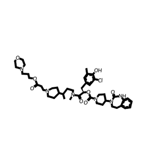 Cc1cc(C[C@@H](OC(=O)N2CCC(N3CCc4ccccc4NC3=O)CC2)C(=O)N(C)CCC(C)C2CCN(CCC(=O)OCCCN3CCOCC3)CC2)cc(Cl)c1O